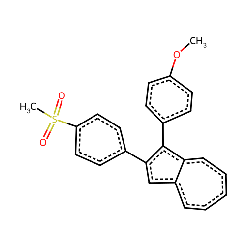 COc1ccc(-c2c3cccccc-3cc2-c2ccc(S(C)(=O)=O)cc2)cc1